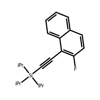 CC(C)[Si](C#Cc1c(F)ccc2ccccc12)(C(C)C)C(C)C